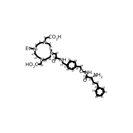 CCN1CCN(CC(=O)O)CCN(CC(=O)NCc2ccc(CONC(=O)[C@H](N)CCc3ccccc3)cc2)CCN(CC(=O)O)CC1